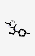 C=C/C(=C(C)\N=C(\C)N)c1ccc(C)cc1